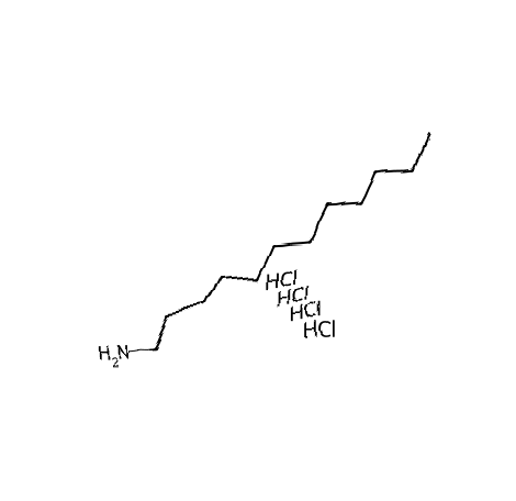 CCCCCCCCCCCCN.Cl.Cl.Cl.Cl